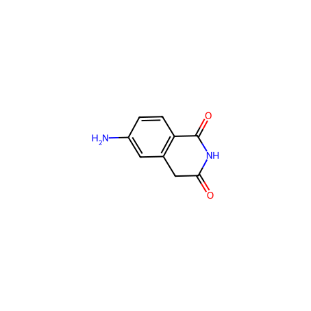 Nc1ccc2c(c1)CC(=O)NC2=O